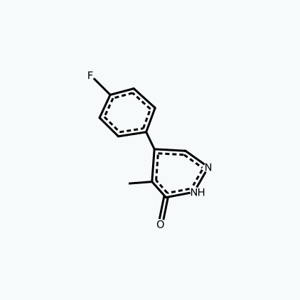 Cc1c(-c2ccc(F)cc2)cn[nH]c1=O